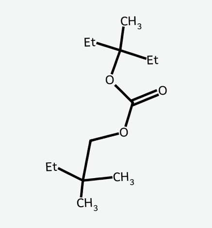 CCC(C)(C)COC(=O)OC(C)(CC)CC